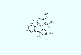 COC(=O)C1=C(C)NC(C(F)(F)F)=C(C(C)=O)C1c1csc2ccccc12